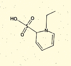 CCN1C=CC=CC1S(=O)(=O)O